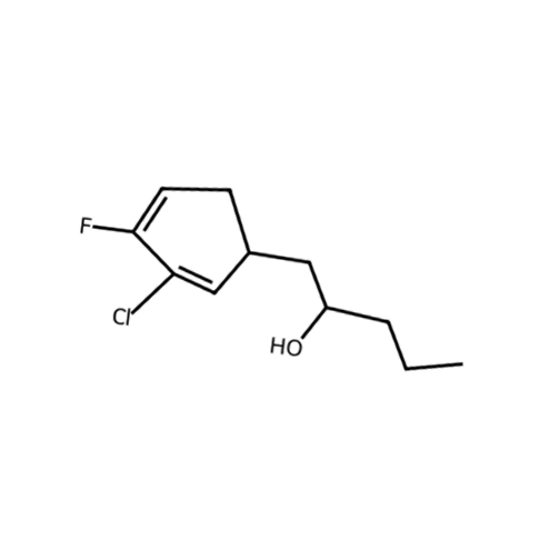 CCCC(O)CC1C=C(Cl)C(F)=CC1